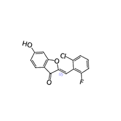 O=C1/C(=C/c2c(F)cccc2Cl)Oc2cc(O)ccc21